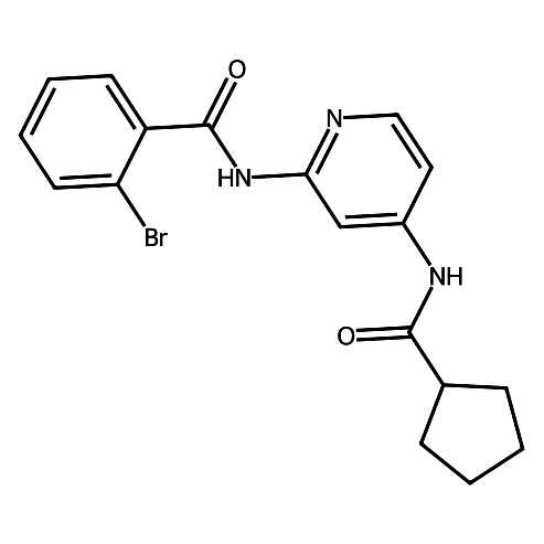 O=C(Nc1cc(NC(=O)C2CCCC2)ccn1)c1ccccc1Br